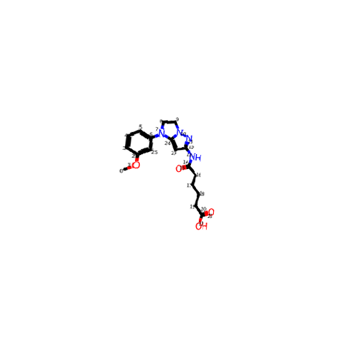 COc1cccc(N2CCn3nc(NC(=O)CCCCC(=O)O)cc32)c1